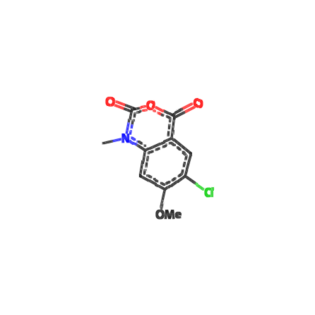 COc1cc2c(cc1Cl)c(=O)oc(=O)n2C